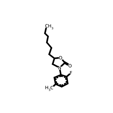 CCCCCCC1CN(c2cc(C)ccc2F)C(=O)O1